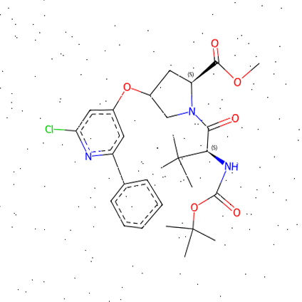 COC(=O)[C@@H]1CC(Oc2cc(Cl)nc(-c3ccccc3)c2)CN1C(=O)[C@@H](NC(=O)OC(C)(C)C)C(C)(C)C